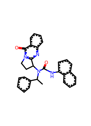 CC(c1ccccc1)N(C(=O)Nc1cccc2ccccc12)C1CCn2c1nc1ccccc1c2=O